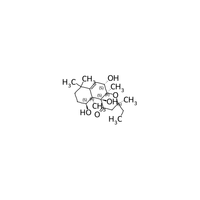 CC[C@@]1(C)CC(=O)[C@@]2(O)[C@](C)(O1)[C@@H](O)C=C1C(C)(C)CC[C@H](O)[C@@]12C